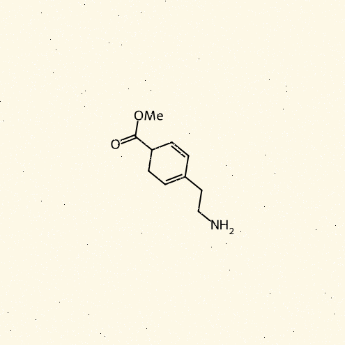 COC(=O)C1C=CC(CCN)=CC1